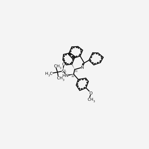 COc1ccc([C@@H](N[S@+]([O-])C(C)(C)C)[C@@H](N=C(c2ccccc2)c2ccccc2)c2ccccc2)cc1